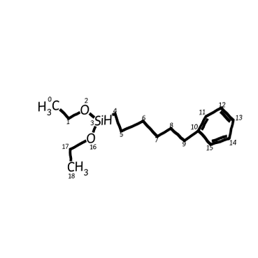 CCO[SiH](CCCCCCc1ccccc1)OCC